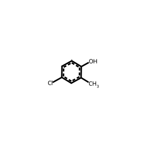 Cc1cc(Cl)c[c]c1O